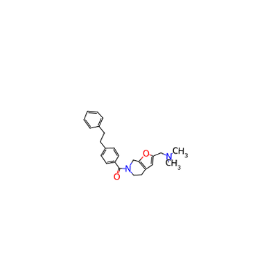 CN(C)Cc1cc2c(o1)CN(C(=O)c1ccc(CCc3ccccc3)cc1)CC2